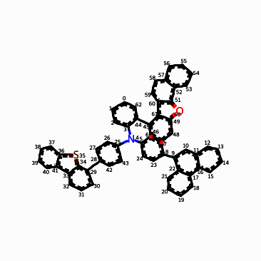 c1ccc(N(c2ccc(-c3cc4ccccc4c4ccccc34)cc2)c2ccc(-c3cccc4c3sc3ccccc34)cc2)c(-c2cccc3oc4c5ccccc5ccc4c23)c1